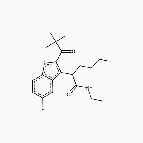 CCCCC(C(=O)NCC)c1c(C(=O)C(C)(C)C)sc2ccc(F)cc12